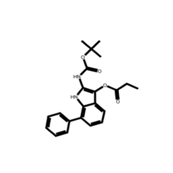 CCC(=O)Oc1c(NC(=O)OC(C)(C)C)[nH]c2c(-c3ccccc3)cccc12